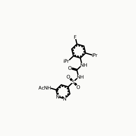 CC(=O)Nc1cc(S(=O)(=O)NC(=O)Nc2c(C(C)C)cc(F)cc2C(C)C)cnn1